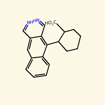 N=Cc1cc2ccccc2c(C2CCCCC2C(=O)O)c1C=N